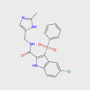 Cc1ncc(CNC(=O)c2[nH]c3ccc(Cl)cc3c2S(=O)(=O)c2ccccc2)[nH]1